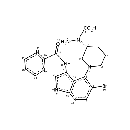 NN(C(=O)O)[C@@H]1CCCN(c2c(Br)cnc3[nH]cc(NC(=O)c4ncccn4)c23)C1